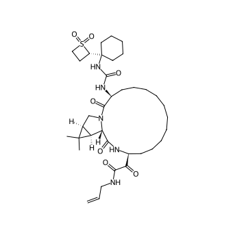 C=CCNC(=O)C(=O)[C@@H]1CCCCCCCCCC[C@H](NC(=O)NC2([C@@H]3CCS3(=O)=O)CCCCC2)C(=O)N2C[C@H]3[C@@H]([C@H]2C(=O)N1)C3(C)C